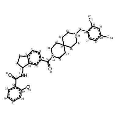 O=C(NC1CCc2ccc(C(=O)N3CCC4(CCN(Cc5ccc(F)cc5Cl)CC4)CC3)cc21)c1ccccc1Cl